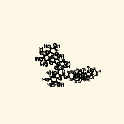 C[C@@H]1CC[C@@]2(OC1)O[C@H]1C[C@H]3[C@@H]4CCC5CC(O[C@H]6O[C@H](CO)[C@H](O[C@H]7O[C@H](CO)[C@@H](O)[C@H](O[C@H]8OC[C@@H](O)[C@H](O)[C@H]8O)[C@H]7O[C@H]7OC[C@@H](O)[C@H](O)[C@H]7O)[C@H](O)[C@H]6O[C@@H]6O[C@@H](C)[C@H](O)[C@@H](O)[C@H]6O)CC[C@]5(C)[C@H]4CC[C@]3(C)[C@H]1[C@@H]2C